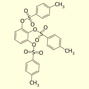 Cc1ccc(S(=O)(=O)Oc2cccc(OS(=O)(=O)c3ccc(C)cc3)c2OS(=O)(=O)c2ccc(C)cc2)cc1